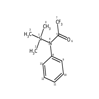 C[Si](C)(C)N(C(=O)C(F)(F)F)c1ccccc1